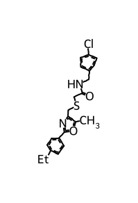 CCc1ccc(-c2nc(CSCC(=O)NCc3ccc(Cl)cc3)c(C)o2)cc1